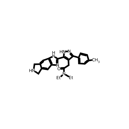 CCN(CC)C(=O)Cc1c(-c2ccc(C)cc2)n[nH]c1-c1nc2cc3c(cc2[nH]1)CNC3